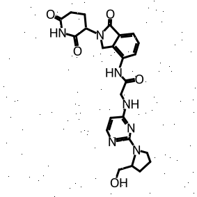 O=C1CCC(N2Cc3c(NC(=O)CNc4ccnc(N5CCCC5CO)n4)cccc3C2=O)C(=O)N1